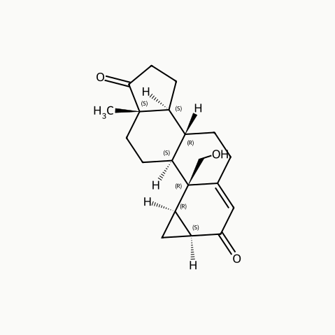 C[C@]12CC[C@H]3[C@@H](CCC4=CC(=O)[C@H]5C[C@H]5[C@@]43CO)[C@@H]1CCC2=O